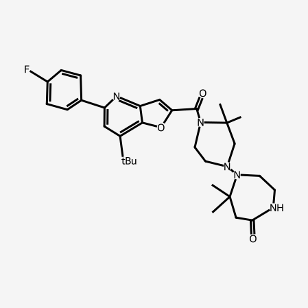 CC(C)(C)c1cc(-c2ccc(F)cc2)nc2cc(C(=O)N3CCN(N4CCNC(=O)CC4(C)C)CC3(C)C)oc12